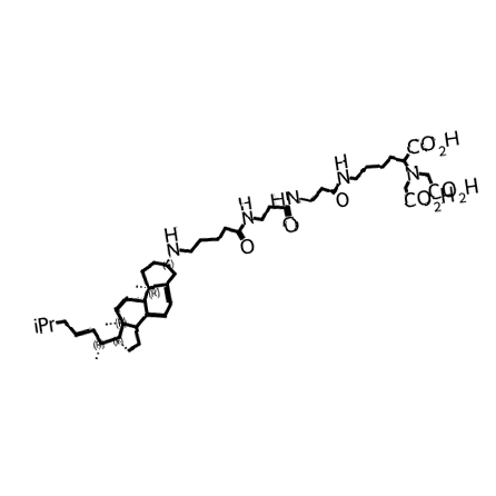 CC(C)CCC[C@@H](C)[C@H]1CCC2C3CC=C4C[C@@H](NCCCCC(=O)NCCC(=O)NCCC(=O)NCCCCC(C(=O)O)N(CC(=O)O)CC(=O)O)CC[C@]4(C)C3CC[C@@]21C